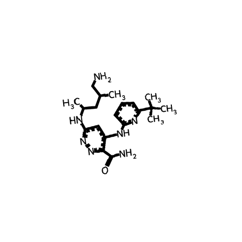 CC(CN)CC(C)Nc1cc(Nc2cccc(C(C)(C)C)n2)c(C(N)=O)nn1